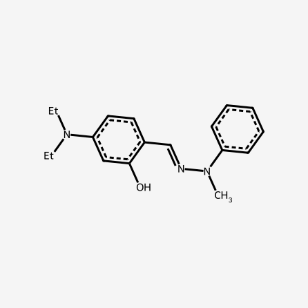 CCN(CC)c1ccc(C=NN(C)c2ccccc2)c(O)c1